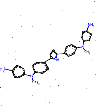 CN(c1ccc(N)cc1)c1ccc(-c2ccc(-c3ccc(N(C)c4ccc(N)cc4)cc3)[nH]2)cc1